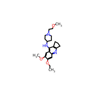 CCOc1cc2nc3c(c(NC4CCN(CCOC)CC4)c2cc1OC)CCC3